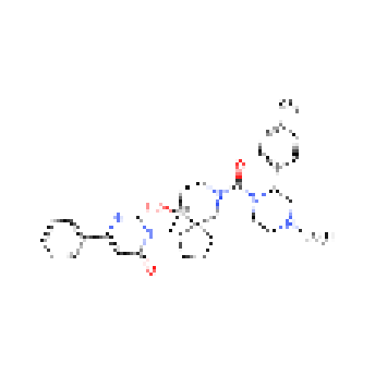 O=C(O)N1CCN(C(=O)N2CC[C@@](O)(Cn3cnc(-c4ccccc4)cc3=O)C3(CCCC3)C2)C(c2ccc(C(F)(F)F)cc2)C1